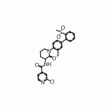 CS(=O)(=O)c1ccccc1-c1ccc(N2CCCC(NC(=O)c3ccnc(Cl)c3)C2=O)c(F)c1